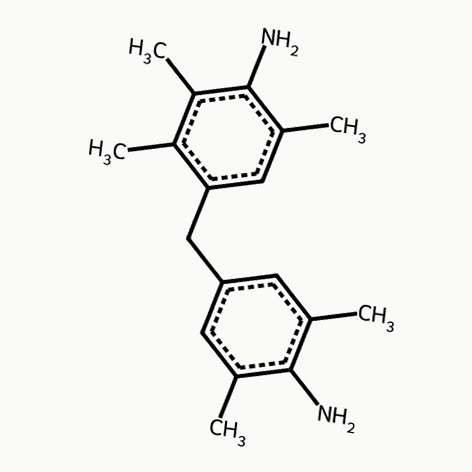 Cc1cc(Cc2cc(C)c(N)c(C)c2C)cc(C)c1N